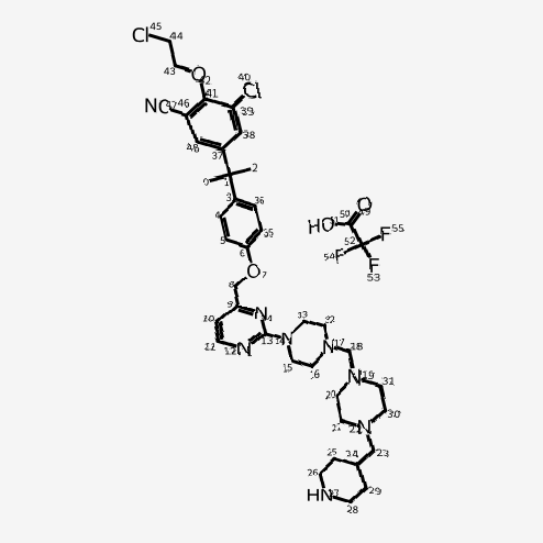 CC(C)(c1ccc(OCc2ccnc(N3CCN(CN4CCN(CC5CCNCC5)CC4)CC3)n2)cc1)c1cc(Cl)c(OCCCl)c(C#N)c1.O=C(O)C(F)(F)F